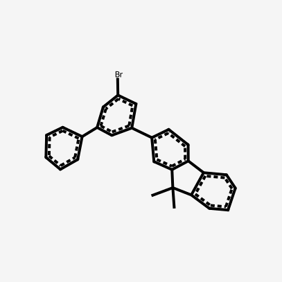 CC1(C)c2ccccc2-c2ccc(-c3cc(Br)cc(-c4ccccc4)c3)cc21